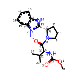 COC(=O)N[C@H](C(=O)N1CCC[C@H]1c1nc2ccccc2[nH]1)C(C)C